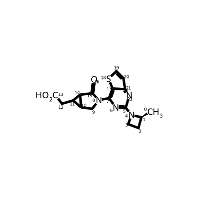 C[C@H]1CCN1c1nc(N2CC3C(CC(=O)O)C3C2=O)c2sccc2n1